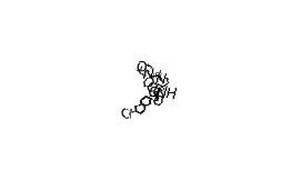 C[C@H](C(=O)N1CCOCC1)N1CC[C@H](NS(=O)(=O)c2ccc3cc(Cl)ccc3c2)C1=O